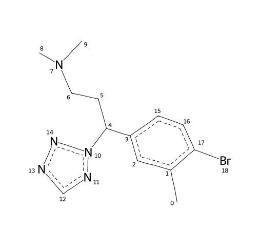 Cc1cc(C(CCN(C)C)n2ncnn2)ccc1Br